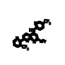 CCCc1cc(Nc2ccc(C(F)(F)F)cn2)c2ccc(-c3ncccc3C(F)(F)F)nc2n1